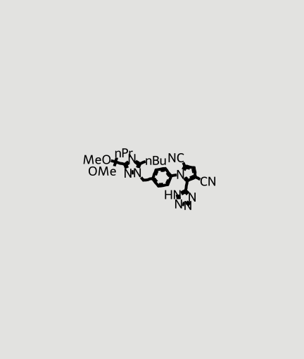 CCCCc1nc(C(CCC)(OC)OC)nn1Cc1ccc(-n2c(C#N)cc(C#N)c2-c2nnn[nH]2)cc1